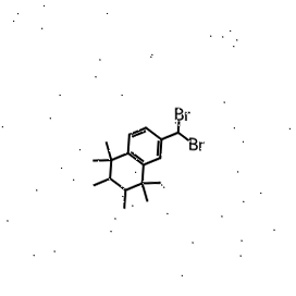 CC1C(C)C(C)(C)c2cc(C(Br)Br)ccc2C1(C)C